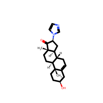 C[C@]12CC[C@H](O)CC1=CC[C@@H]1[C@@H]2CC[C@]2(C)C(=O)[C@@H](n3ccnc3)C[C@@H]12